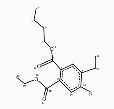 CCCCOC(=O)c1cc(CC)c(C)cc1C(=O)OCC